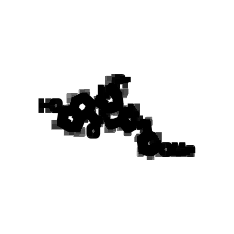 COc1cccc(Cn2cc(CN(C(=O)C3CCCc4c(O)cccc43)c3ccc(C(C)C)nc3)cn2)n1